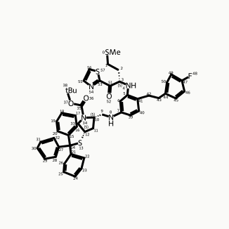 CSCC[C@H](Nc1cc(NC[C@@H]2C[C@H](SC(c3ccccc3)(c3ccccc3)c3ccccc3)CN2C(=O)OC(C)(C)C)ccc1CCc1ccc(F)cc1)C(=O)c1nccs1